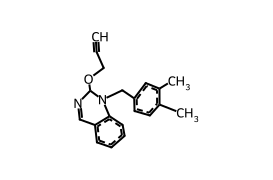 C#CCOC1N=Cc2ccccc2N1Cc1ccc(C)c(C)c1